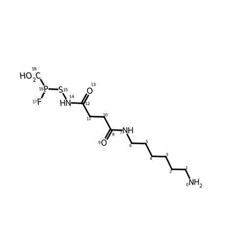 NCCCCCCNC(=O)CCC(=O)NSP(F)C(=O)O